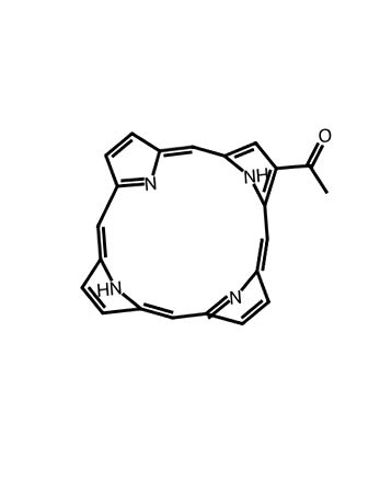 CC(=O)c1cc2cc3nc(cc4ccc(cc5nc(cc1[nH]2)C=C5)[nH]4)C=C3